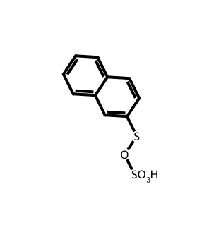 O=S(=O)(O)OSc1ccc2ccccc2c1